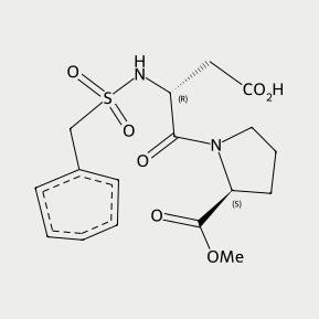 COC(=O)[C@@H]1CCCN1C(=O)[C@@H](CC(=O)O)NS(=O)(=O)Cc1ccccc1